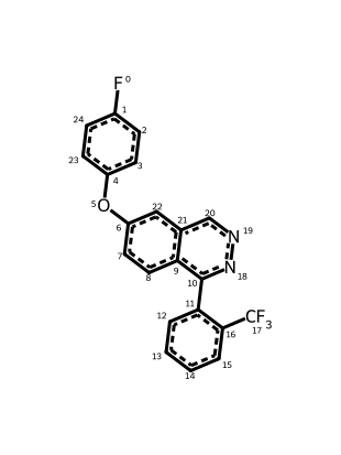 Fc1ccc(Oc2ccc3c(-c4ccccc4C(F)(F)F)nncc3c2)cc1